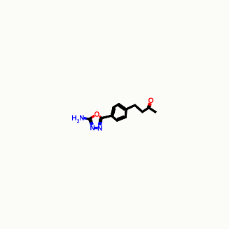 CC(=O)CCc1ccc(-c2nnc(N)o2)cc1